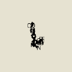 CC(C)(C)OC(=O)N1CCN(c2ccc(-c3cc(OS(=O)(=O)C(F)(F)F)c4c(C#N)cnn4c3)cc2)CC1